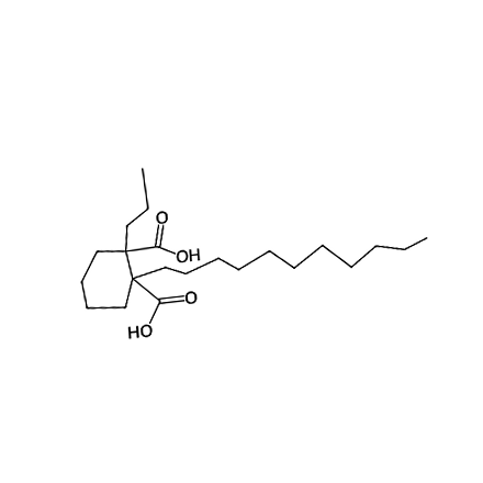 CCCCCCCCCCCC1(C(=O)O)CCCCC1(CCC)C(=O)O